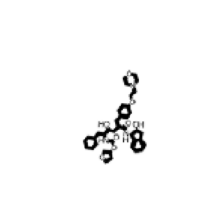 O=C(NC(Cc1ccccc1)C(O)CC(Cc1ccc(OCCN2CCOCC2)cc1)C(=O)N[C@H]1c2ccccc2C[C@@H]1O)OC1CCOC1